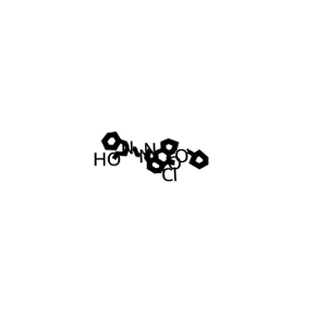 O=C1c2c(OCc3ccccc3)cccc2-c2nn(CCN(CCO)Cc3ccccc3)c3ccc(Cl)c1c23